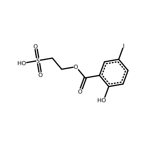 O=C(OCCS(=O)(=O)O)c1cc(I)ccc1O